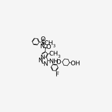 Cc1c(C(=O)N=[S@](C)(=O)c2ccccc2)cn2ncnc(Nc3ccc(F)cc3O[C@H]3CC[C@H](O)CC3)c12